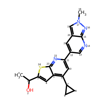 CC(O)c1cc2c(C3CC3)cc(-c3cnc4nn(C)cc4c3)nc2s1